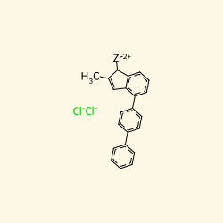 CC1=Cc2c(-c3ccc(-c4ccccc4)cc3)cccc2[CH]1[Zr+2].[Cl-].[Cl-]